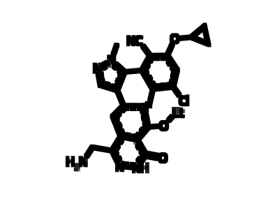 CCOc1cc(-c2cnn(C)c2-c2c(F)c(Cl)cc(OC3CC3)c2C#N)cc2c(CN)n[nH]c(=O)c12